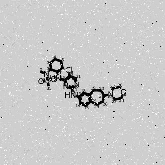 CN([C@@H]1CCCC[C@H]1Nc1nc(Nc2ccc3c(c2)CCC(N2CCOCC2)CC3)ncc1Cl)S(C)(=O)=O